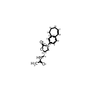 CC(=O)NC[C@H]1CN(c2ccc3c(c2)CCCC=C3)C(=O)O1